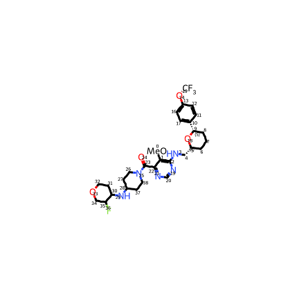 COc1c(NC[C@H]2CCC[C@@H](c3ccc(OC(F)(F)F)cc3)O2)ncnc1C(=O)N1CCC(NC2CCOCC2F)CC1